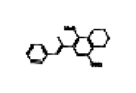 COc1cc(C(C)=Cc2ccccc2)c(OC)c2c1CCCC2